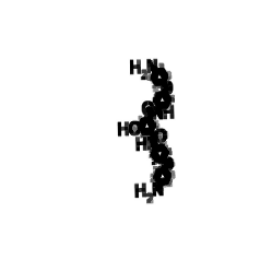 Nc1ccc(Oc2ccc(NC(=O)c3cc(O)cc(C(=O)Nc4ccc(Oc5ccc(N)cc5)cc4)c3)cc2)cc1